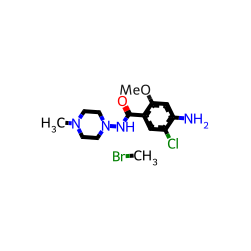 CBr.COc1cc(N)c(Cl)cc1C(=O)NN1CCN(C)CC1